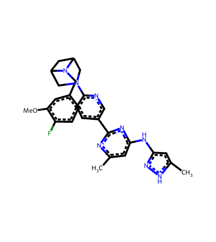 COc1cc(CN2C3CC2CN(c2ccc(-c4nc(C)cc(Nc5cc(C)[nH]n5)n4)cn2)C3)ccc1F